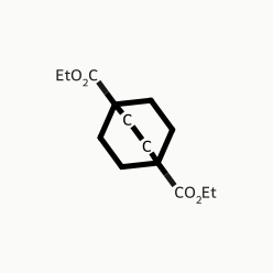 CCOC(=O)C12CCC(C(=O)OCC)(CC1)CC2